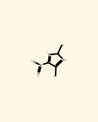 CC1=NC(C)N=C1[N+](=O)[O-]